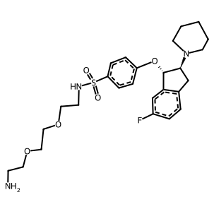 NCCOCCOCCNS(=O)(=O)c1ccc(O[C@H]2c3cc(F)ccc3C[C@@H]2N2CCCCC2)cc1